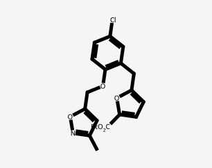 CCOC(=O)c1ccc(Cc2cc(Cl)ccc2OCc2cc(C)no2)o1